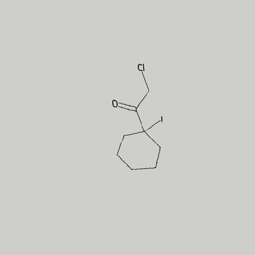 O=C(CCl)C1(I)CCCCC1